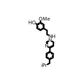 COc1cc(CCNN2C=NC(c3ccc(CC(C)C)cc3)=CC2)ccc1O